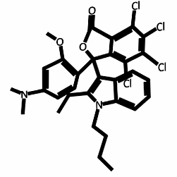 CCCCn1c(CC)c(C2(c3ccc(N(C)C)cc3OC)OC(=O)c3c(Cl)c(Cl)c(Cl)c(Cl)c32)c2ccccc21